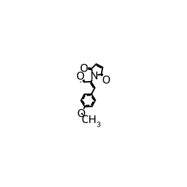 COc1ccc(C=C([C]=O)N2C(=O)C=CC2=O)cc1